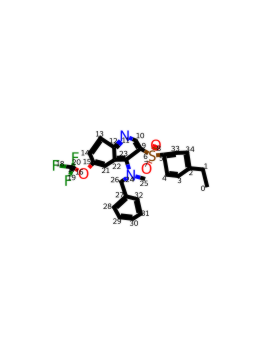 CCc1ccc(S(=O)(=O)c2cnc3ccc(OC(F)(F)F)cc3c2N(C)Cc2ccccc2)cc1